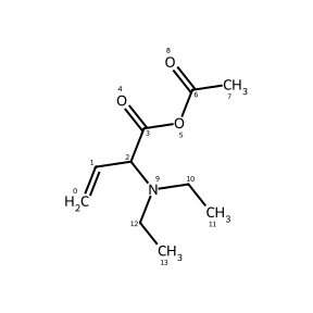 C=CC(C(=O)OC(C)=O)N(CC)CC